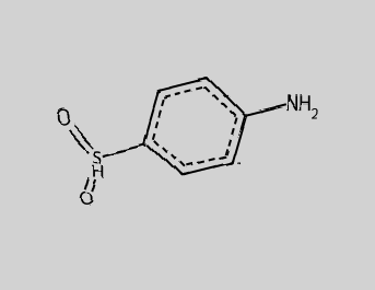 Nc1[c]cc([SH](=O)=O)cc1